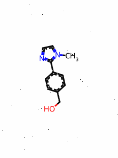 Cn1ccnc1-c1ccc(CO)cc1